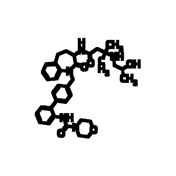 C[C@@H](O)CNC(C)(C)CC(=O)N[C@@H]1CCc2ccccc2N(Cc2ccc(-c3ccccc3NC(=O)N3CCOCC3)cc2)C1=O